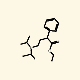 CCOC(=S)C(CCN(C(C)C)C(C)C)c1ccccc1